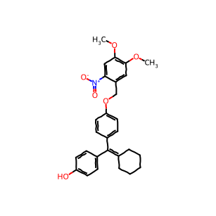 COc1cc(COc2ccc(C(=C3CCCCC3)c3ccc(O)cc3)cc2)c([N+](=O)[O-])cc1OC